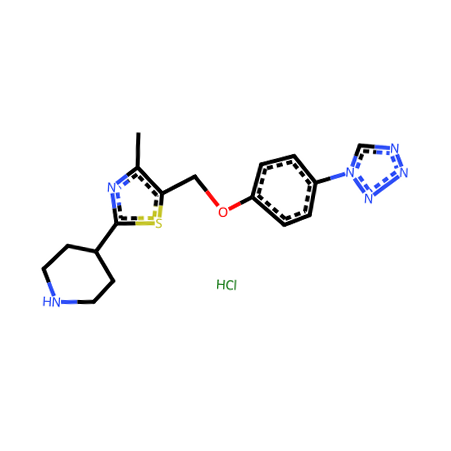 Cc1nc(C2CCNCC2)sc1COc1ccc(-n2cnnn2)cc1.Cl